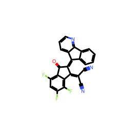 N#CC(C#N)=C1/C(=C2\c3ccccc3-c3ncccc32)C(=O)c2c(F)cc(F)c(F)c21